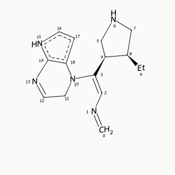 C=N/C=C(/[C@H]1CNC[C@H]1CC)N1CC=Nc2[nH]ccc21